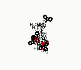 CC[C@H](C)[C@H](NC(=O)OCC1c2ccccc2-c2ccccc21)C(=O)NCC(=O)N[C@@H](CSC(c1ccccc1)(c1ccccc1)c1ccccc1)C(=O)N[C@@H](CC(=O)NC(c1ccccc1)(c1ccccc1)c1ccccc1)C(=O)N1CCC[C@H]1C(=O)N[C@H](C(=O)N[C@@H](Cc1c[nH]c2ccccc12)C(=O)NCC(=O)O)[C@@H](C)CC